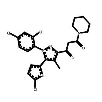 Cc1c(C(=O)CC(=O)N2CCCCC2)nn(-c2ccc(Cl)cc2Cl)c1-c1ccc(Cl)s1